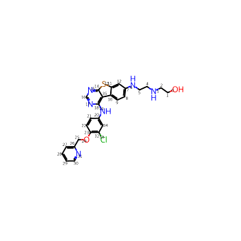 OCCNCCNc1ccc2c(c1)sc1ncnc(Nc3ccc(OCc4ccccn4)c(Cl)c3)c12